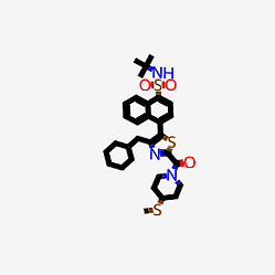 CSC1CCN(C(=O)c2nc(CC3CCCCC3)c(-c3ccc(S(=O)(=O)NC(C)(C)C)c4ccccc34)s2)CC1